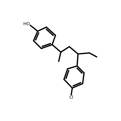 CCC(CC(C)c1ccc(O)cc1)c1ccc(Cl)cc1